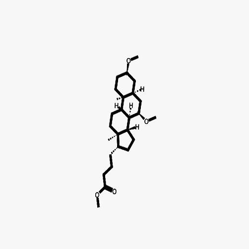 COC(=O)CCC[C@H]1CC[C@H]2[C@@H]3[C@H](OC)C[C@@H]4C[C@H](OC)CC[C@]4(C)[C@H]3CC[C@]12C